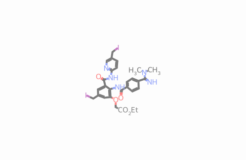 CCOC(=O)COc1cc(CI)cc(C(=O)Nc2ccc(CI)cn2)c1NC(=O)c1ccc(C(=N)N(C)C)cc1